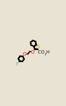 O=C(O)c1sc2ccccc2c1OCCOc1ccc(F)cc1